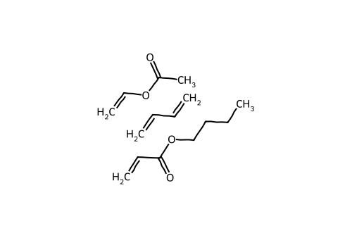 C=CC(=O)OCCCC.C=CC=C.C=COC(C)=O